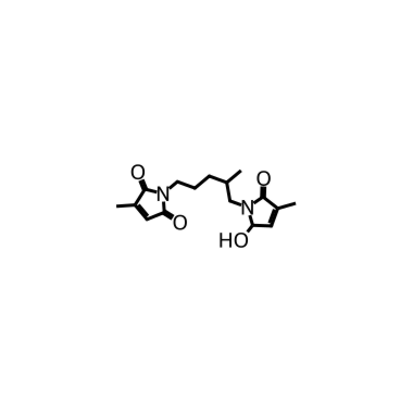 CC1=CC(=O)N(CCCC(C)CN2C(=O)C(C)=CC2O)C1=O